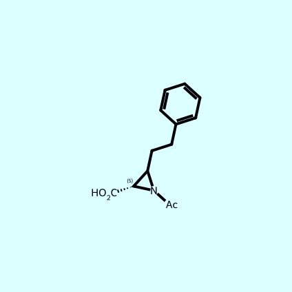 CC(=O)N1C(CCc2ccccc2)[C@H]1C(=O)O